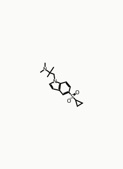 CN(C)C(C)(C)Cn1ccc2cc(S(=O)(=O)C3CC3)ccc21